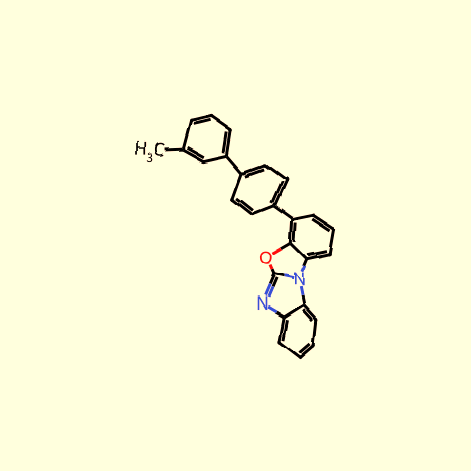 Cc1cccc(-c2ccc(-c3cccc4c3oc3nc5ccccc5n34)cc2)c1